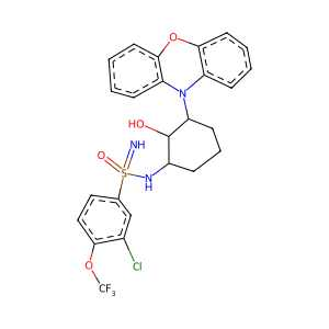 N=S(=O)(NC1CCCC(N2c3ccccc3Oc3ccccc32)C1O)c1ccc(OC(F)(F)F)c(Cl)c1